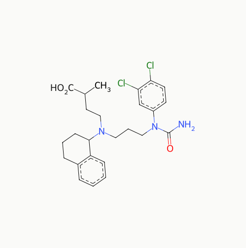 CC(CCN(CCCN(C(N)=O)c1ccc(Cl)c(Cl)c1)C1CCCc2ccccc21)C(=O)O